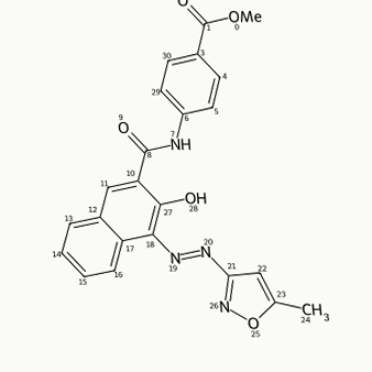 COC(=O)c1ccc(NC(=O)c2cc3ccccc3c(/N=N/c3cc(C)on3)c2O)cc1